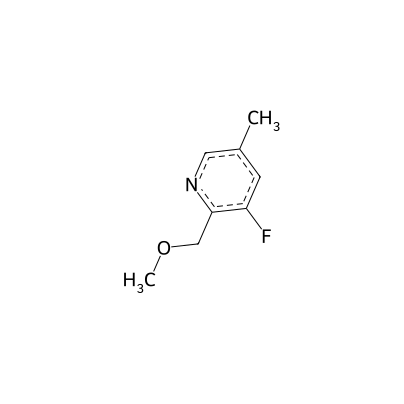 COCc1ncc(C)cc1F